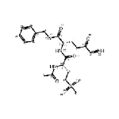 CC(=O)N[C@@H](CCS(C)(=O)=O)C(=O)N[C@@H](CCC(=O)C=N)C(=O)NCc1ccccc1